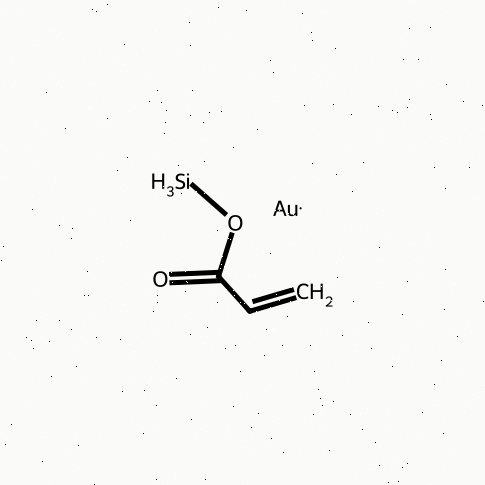 C=CC(=O)O[SiH3].[Au]